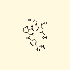 CCOc1cc(CO)cc(CNc2ncccc2C(=O)Nc2ccc(C(=N)N)cc2)c1OCC(=O)O